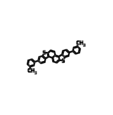 Cc1cccc(-c2ccc3c(c2)sc2ccc4c(ccc5sc6cc(-c7cccc(C)c7)ccc6c54)c23)c1